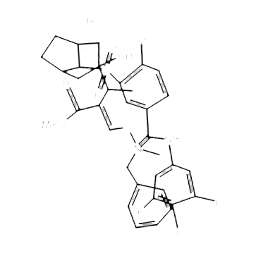 COC(=O)/C(=C/ON(C)Cc1ccccc1)C(C)C1(O)CC2CC[C@@H](C1)C2S(=O)(=O)c1cc(C(=O)Nc2cc(F)c(F)c(F)c2)ccc1Cl